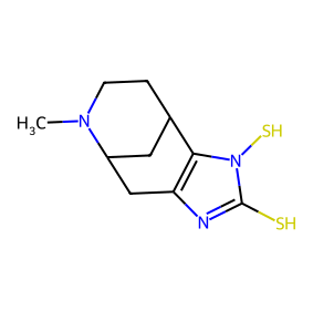 CN1CCC2CC1Cc1nc(S)n(S)c12